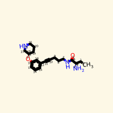 CC[C@H](N)C(=O)NCCCC#Cc1cccc(O[C@H]2CCCNC2)c1